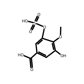 COc1c(O)cc(C(=O)O)cc1OS(=O)(=O)O